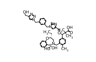 CC[C@@H]1CN(Cc2cc(C(OCc3cn(Cc4cccc(Cn5cc(CO)nn5)c4)nn3)C(C)(C)C(=O)O)ccc2C)S(O)(O)c2ccccc2O1